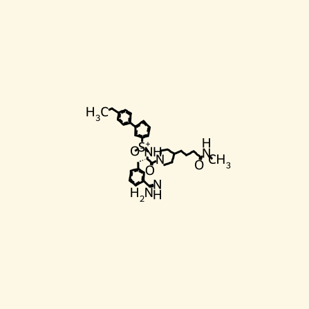 CCc1ccc(-c2cccc([S+]([O-])N[C@@H](Cc3cccc(C(=N)N)c3)C(=O)N3CCC(CCCC(=O)NC)CC3)c2)cc1